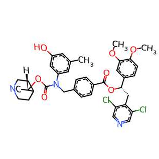 COc1ccc([C@H](Cc2c(Cl)cncc2Cl)OC(=O)c2ccc(CN(C(=O)O[C@H]3CN4CCC3CC4)c3cc(C)cc(O)c3)cc2)cc1OC